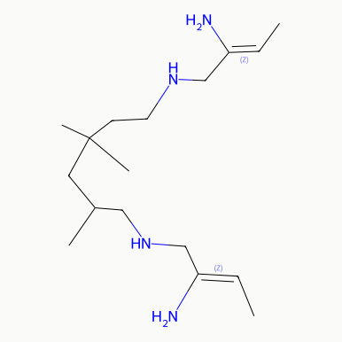 C/C=C(\N)CNCCC(C)(C)CC(C)CNC/C(N)=C/C